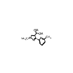 Cc1cccc(-c2nn(C)cc2B(O)O)n1